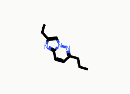 CCCc1ccc2nc(CC)cn2n1